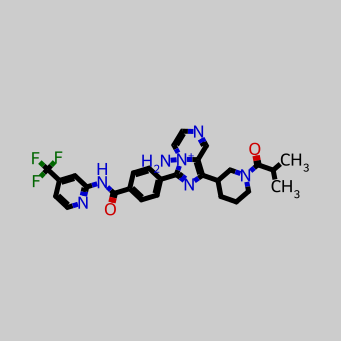 CC(C)C(=O)N1CCCC(C2=C3C=NC=C[N+]3(N)C(c3ccc(C(=O)Nc4cc(C(F)(F)F)ccn4)cc3)=N2)C1